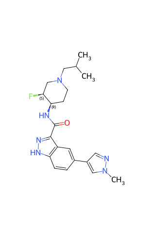 CC(C)CN1CC[C@@H](NC(=O)c2n[nH]c3ccc(-c4cnn(C)c4)cc23)[C@@H](F)C1